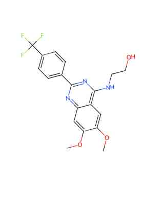 COc1cc2nc(-c3ccc(C(F)(F)F)cc3)nc(NCCO)c2cc1OC